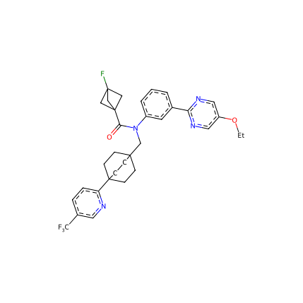 CCOc1cnc(-c2cccc(N(CC34CCC(c5ccc(C(F)(F)F)cn5)(CC3)CC4)C(=O)C34CC(F)(C3)C4)c2)nc1